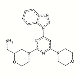 NCC1CN(c2nc(N3CCOCC3)cc(-n3cnc4ccccc43)n2)CCO1